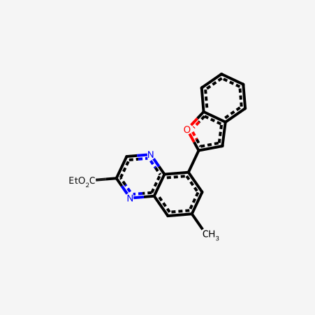 CCOC(=O)c1cnc2c(-c3cc4ccccc4o3)cc(C)cc2n1